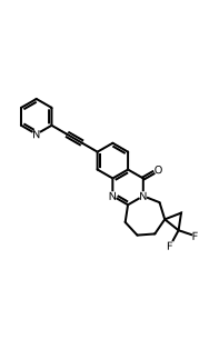 O=c1c2ccc(C#Cc3ccccn3)cc2nc2n1CC1(CCC2)CC1(F)F